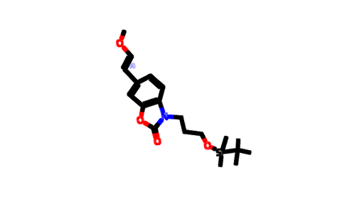 CO/C=C/c1ccc2c(c1)oc(=O)n2CCCO[Si](C)(C)C(C)(C)C